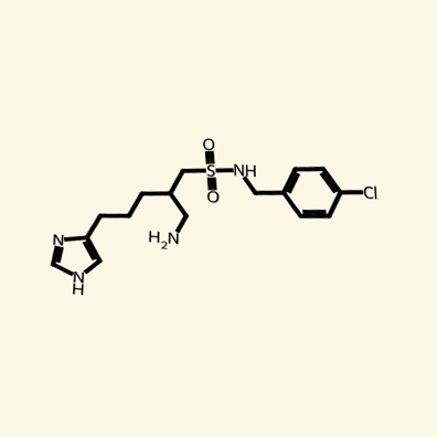 NCC(CCCc1c[nH]cn1)CS(=O)(=O)NCc1ccc(Cl)cc1